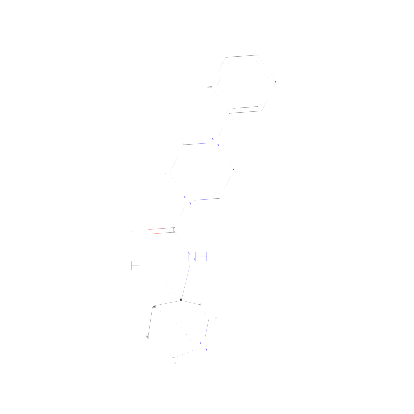 CC1(NC(=O)N2CCN(c3ccccc3)CC2)CCN2CCC1CC2